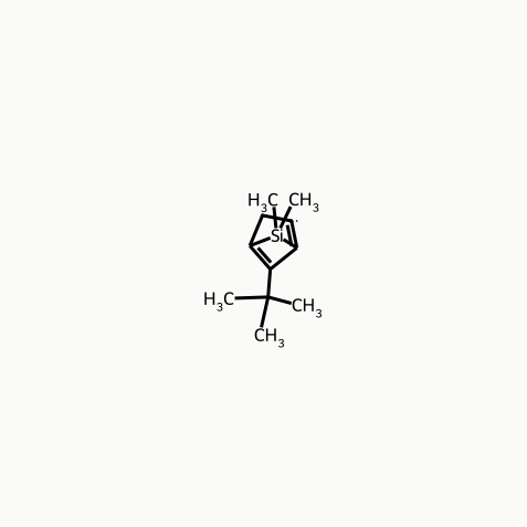 CC(C)(C)C1=C2C[C]=C1[Si]2(C)C